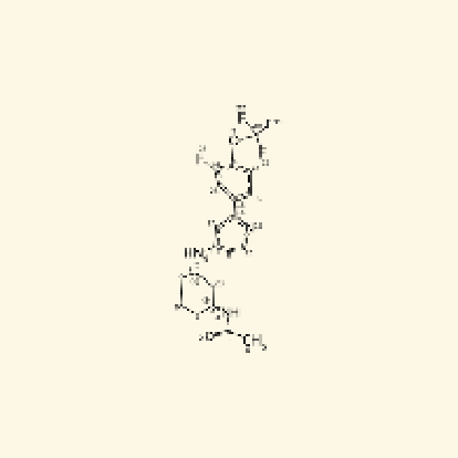 CC(=O)N[C@H]1CCC[C@H](Nc2ccnc(-c3ccc(OC(F)(F)F)c(F)c3)c2)C1